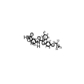 C[C@H]1CC[C@H](c2cccc(OC[C@H](C)N(C)C)c2)N(C(=O)C(=O)Nc2cnc3o[nH]c(=O)c3c2)C1